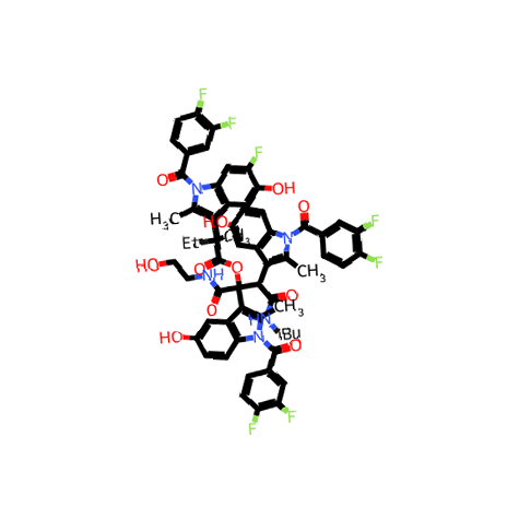 CCC(C)NC(=O)C(c1c(C)n(C(=O)c2ccc(F)c(F)c2)c2ccc(O)cc12)C(OC(=O)C(C)(CC)c1c(C)n(C(=O)c2ccc(F)c(F)c2)c2cc(F)c(O)cc12)(C(=O)NCCO)c1c(C)n(C(=O)c2ccc(F)c(F)c2)c2ccc(O)cc12